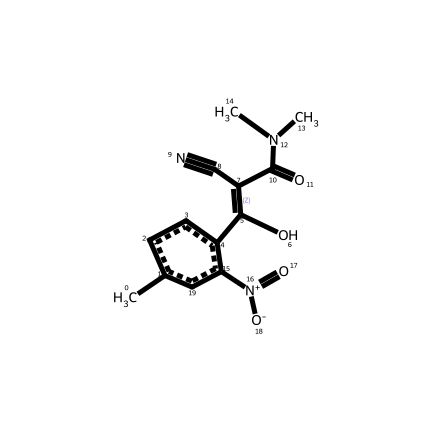 Cc1ccc(/C(O)=C(\C#N)C(=O)N(C)C)c([N+](=O)[O-])c1